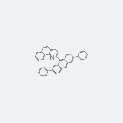 c1ccc(-c2ccc3c(-c4ccc5ccc6ccccc6c5n4)c4cc(-c5ccccc5)ccc4cc3c2)cc1